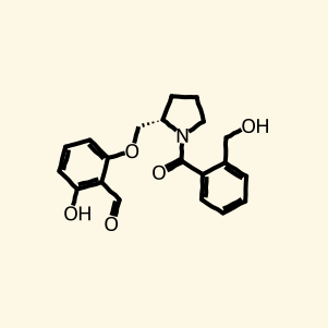 O=Cc1c(O)cccc1OC[C@@H]1CCCN1C(=O)c1ccccc1CO